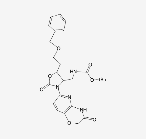 CC(C)(C)OC(=O)NCC1C(CCOCc2ccccc2)OC(=O)N1c1ccc2c(n1)NC(=O)CO2